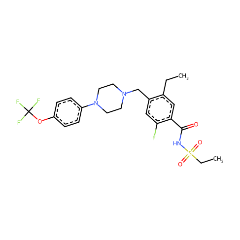 CCc1cc(C(=O)NS(=O)(=O)CC)c(F)cc1CN1CCN(c2ccc(OC(F)(F)F)cc2)CC1